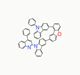 c1ccc(-c2cc(-n3c4ccccc4c4cc(-c5ccc6oc7cccc(-c8ccc9c(c8)c8ccccc8n9-c8ccccc8)c7c6c5)ccc43)nc3ccccc23)cc1